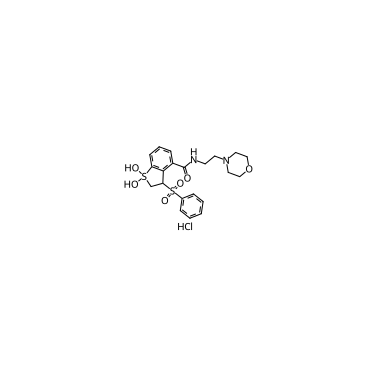 Cl.O=C(NCCN1CCOCC1)c1cccc2c1C(S(=O)(=O)c1ccccc1)CS2(O)O